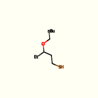 CCCCCOC(CC)CCS